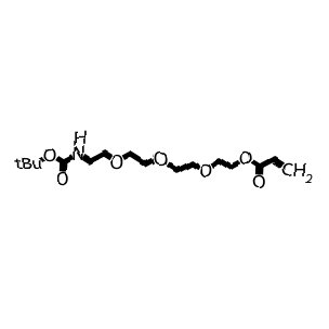 C=CC(=O)OCCOCCOCCOCCNC(=O)OC(C)(C)C